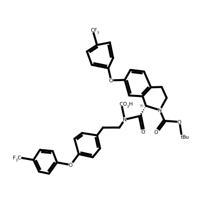 CC(C)(C)OC(=O)N1CCc2ccc(Oc3ccc(C(F)(F)F)cc3)cc2[C@H]1C(=O)N(CCc1ccc(Oc2ccc(C(F)(F)F)cc2)cc1)C(=O)O